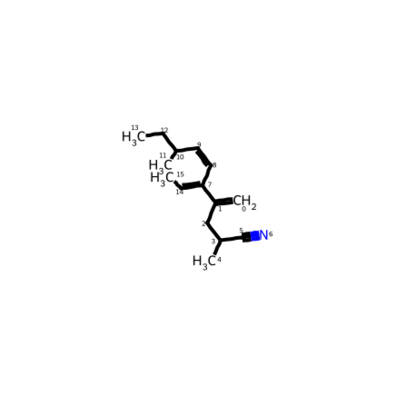 C=C(CC(C)C#N)C(/C=C\C(C)CC)=C/C